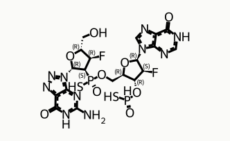 Nc1nc2c(nnn2[C@@H]2O[C@H](CO)[C@@H](F)[C@H]2P(=O)(S)OC[C@H]2O[C@@H](n3cnc4c(=O)[nH]cnc43)[C@@H](F)[C@@H]2O[PH](=O)S)c(=O)[nH]1